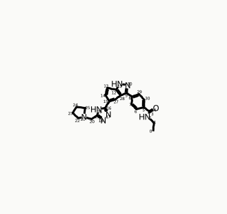 CCNC(=O)c1ccc(-c2n[nH]c3ccc(-c4nnc(CN5CCCC5)[nH]4)cc23)cc1